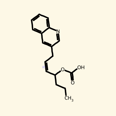 CCCC(/C=C\Cc1cnc2ccccc2c1)OC(=O)O